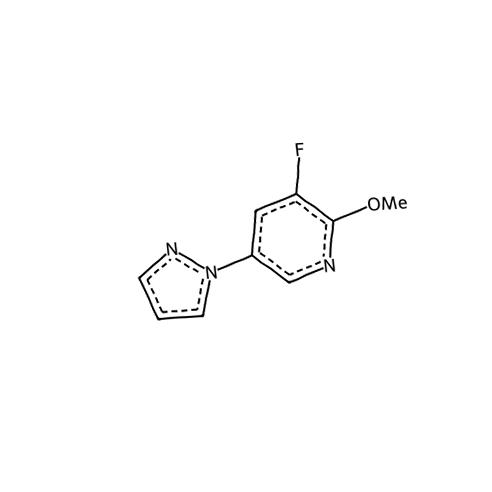 COc1ncc(-n2cccn2)cc1F